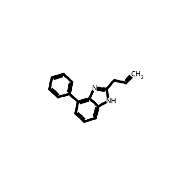 C=CCc1nc2c(-c3ccccc3)cccc2[nH]1